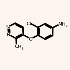 Cc1nnccc1Oc1ccc(N)cc1Cl